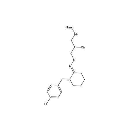 CCCCCCNCC(O)CON=C1CCCCC1=Cc1ccc(Cl)cc1